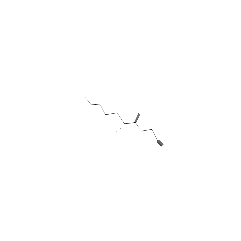 C#CCNC(=O)[C@@H](N)CCCCN